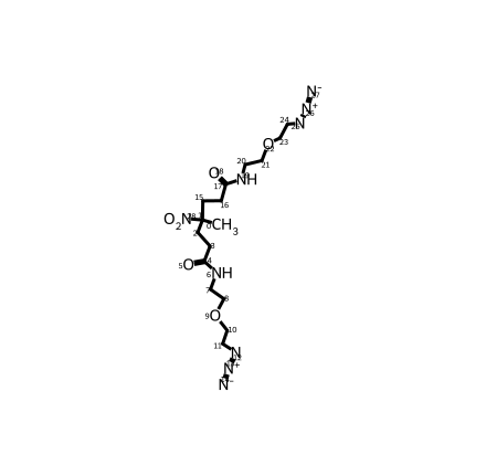 CC(CCC(=O)NCCOCCN=[N+]=[N-])(CCC(=O)NCCOCCN=[N+]=[N-])[N+](=O)[O-]